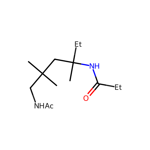 CCC(=O)NC(C)(CC)CC(C)(C)CNC(C)=O